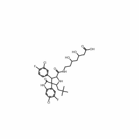 CC(C)(C)CC1NC(C(=O)NCCC(O)CC(O)CC(=O)O)C(c2ccc(F)c(Cl)c2)C12C(=O)Nc1cc(Cl)c(F)cc12